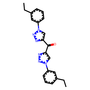 CCc1cccc(-n2cc(C(=O)c3cn(-c4cccc(CC)c4)nn3)nn2)c1